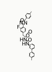 Cc1ccc(-c2cccc(NC(=O)NC(Cc3ccc(-c4noc(-c5ccc(C)cc5)n4)c(F)c3)OC=O)c2)cc1